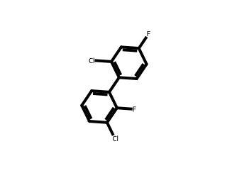 Fc1ccc(-c2cc[c]c(Cl)c2F)c(Cl)c1